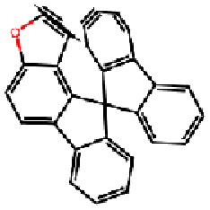 C1#CCC2=C(C=C1)c1ccccc1C21c2ccccc2-c2ccc3oc4c(c3c21)CCC=C4